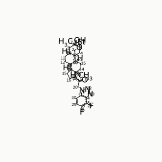 CCOC[C@]12CC[C@@](C)(O)C[C@@H]1CC[C@H]1[C@@H]3CC[C@H](C(=O)Cn4nnc5c(F)c(F)ccc54)[C@@]3(C)CC[C@@H]12